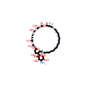 CC1OC(O[C@H]2/C=C/C=C/C=C/C=C/C=C/C=C/C=C/C[C@@H](C)[C@@H](C)[C@H](C)OC(=O)C[C@H](O)C[C@H](O)CCC[C@H](O)C[C@H](O)C[C@]3(O)C[C@H](O)C(C(=O)O)[C@H](C2)O3)C(O)C(N)C1O